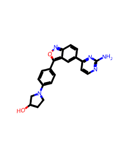 Nc1nccc(-c2ccc3noc(-c4ccc(N5CCC(O)C5)cc4)c3c2)n1